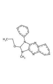 CCOC1N(C)c2nc3ccccc3nc2N1c1ccccc1